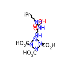 CC(C)CCCCNC(=O)[C@@H](CO)NC(=O)CCNCN1CCN(CC(=O)O)CCN(CC(=O)O)CCN(CC(=O)O)CC1